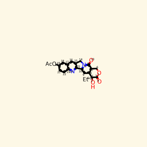 CC[C@@]1(O)C(=O)OCc2c1cc1n(c2=O)Cc2cc3cc(OC(C)=O)ccc3nc2-1